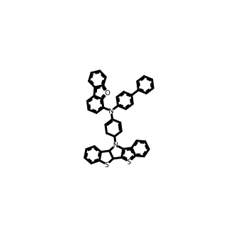 C1=CC(N2c3c(sc4ccccc34)C3Sc4ccccc4C32)CC=C1N(c1ccc(-c2ccccc2)cc1)c1cccc2c1oc1ccccc12